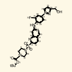 CC(C)(C)OC(=O)N1CCN(S(=O)(=O)c2ccc3cnc(Nc4ccc(-n5ccc(CO)n5)cc4F)cc3n2)CC1